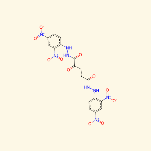 O=C(CCC(=O)C(=O)NNc1ccc([N+](=O)[O-])cc1[N+](=O)[O-])NNc1ccc([N+](=O)[O-])cc1[N+](=O)[O-]